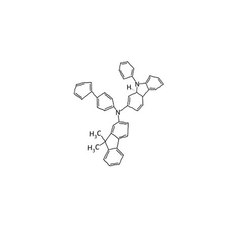 CC1(C)c2ccccc2-c2ccc(N(C3=C[C@@H]4C(C=C3)c3ccccc3N4c3ccccc3)c3ccc(-c4ccccc4)cc3)cc21